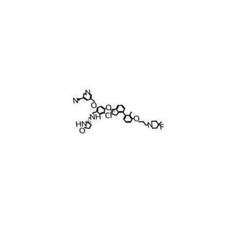 Cc1c(OCCCN2CCC(C)(F)CC2)cccc1-c1cccc2c1CC[C@@H]2Oc1cc(OCc2cncc(C#N)c2)c(CNC[C@@H]2CCC(=O)N2)cc1Cl